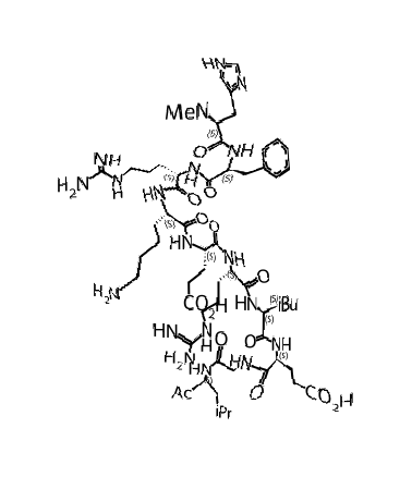 CC[C@H](C)[C@H](NC(=O)[C@H](CCCNC(=N)N)NC(=O)[C@H](CCC(=O)O)NC(=O)[C@H](CCCCN)NC(=O)[C@H](CCCNC(=N)N)NC(=O)[C@H](Cc1ccccc1)NC(=O)[C@H](Cc1c[nH]cn1)NC)C(=O)N[C@@H](CCC(=O)O)C(=O)NCC(=O)N[C@@H](CC(C)C)C(C)=O